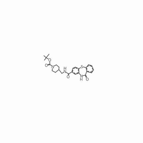 CC(C)(C)OC(=O)N1CCC(CNC(=O)c2ccc3c(c2)NC(=O)c2ccccc2S3)CC1